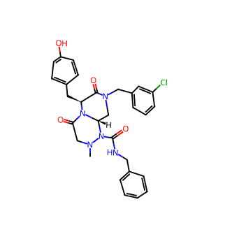 CN1CC(=O)N2[C@@H](Cc3ccc(O)cc3)C(=O)N(Cc3cccc(Cl)c3)C[C@@H]2N1C(=O)NCc1ccccc1